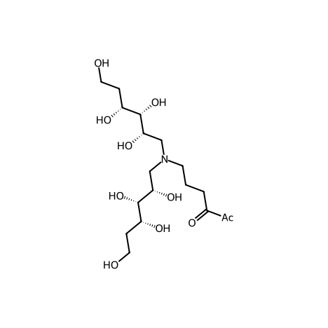 CC(=O)C(=O)CCCN(C[C@H](O)[C@@H](O)[C@H](O)CCO)C[C@H](O)[C@@H](O)[C@H](O)CCO